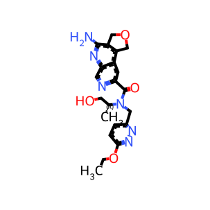 CCOc1ccc(CN(C(=O)c2cc3c4c(c(N)nc3cn2)COC4)[C@H](C)CO)nn1